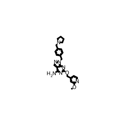 COc1cc(COc2nc(N)c3cnn(Cc4ccc(CN5CCCC5)cc4)c3n2)ccn1